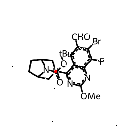 COc1nc(N2CC3CCC(C2)N3C(=O)OC(C)(C)C)c2cc(C=O)c(Br)c(F)c2n1